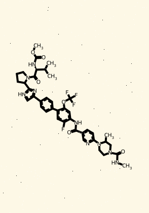 CNC(=O)N1CCN(c2ccc(C(=O)Nc3cc(OC(F)(F)F)c(-c4ccc(-c5c[nH]c(C6CCCN6C(=O)[C@@H](NC(=O)OC)C(C)C)n5)cc4)cc3F)cn2)C(C)C1